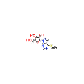 CCCSc1ncnc2c1cnn2[C@@H]1O[C@H](CO)[C@@H](O)[C@H]1O